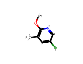 CC(C)Oc1ncc(Br)cc1C(F)(F)F